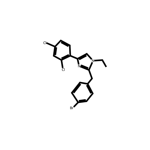 CCn1cc(-c2ccc(Cl)cc2Cl)nc1Cc1ccc(Br)cc1